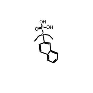 CCS(CC)(c1ccc2ccccc2c1)P(=O)(O)O